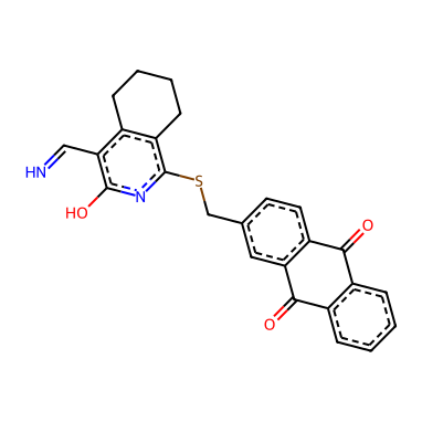 N=Cc1c(O)nc(SCc2ccc3c(c2)C(=O)c2ccccc2C3=O)c2c1CCCC2